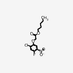 CCCCCOC(=O)COc1cc([N+](=O)[O-])c(F)cc1Cl